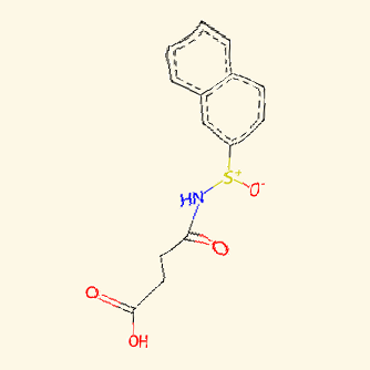 O=C(O)CCC(=O)N[S+]([O-])c1ccc2ccccc2c1